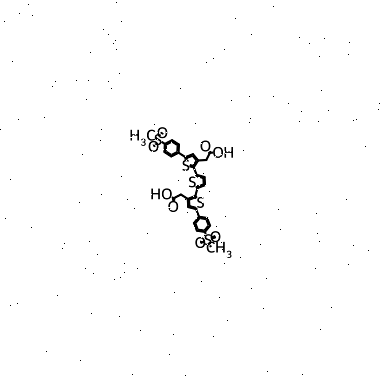 CS(=O)(=O)c1ccc(-c2cc(CC(=O)O)c(-c3ccc(-c4sc(-c5ccc(S(C)(=O)=O)cc5)cc4CC(=O)O)s3)s2)cc1